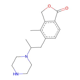 Cc1c(CC(C)N2CCNCC2)ccc2c1COC2=O